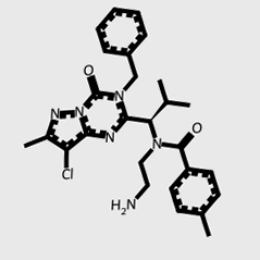 Cc1ccc(C(=O)N(CCN)[C@@H](c2nc3c(Cl)c(C)nn3c(=O)n2Cc2ccccc2)C(C)C)cc1